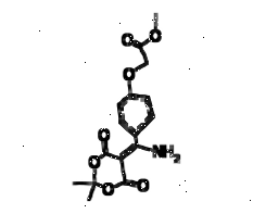 COC(=O)COc1ccc(C(N)=C2C(=O)OC(C)(C)OC2=O)cc1